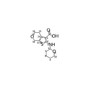 O=C(O)c1c(NC2CCCCO2)sc2c1CCOC2